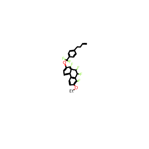 C=CCCc1ccc(C(F)(F)Oc2ccc3c(c2F)C(F)C(F)c2c-3ccc(OCC)c2F)cc1